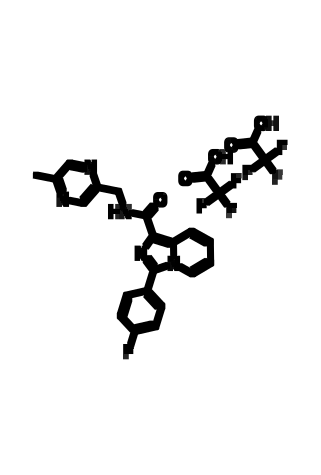 Cc1cnc(CNC(=O)c2nc(-c3ccc(F)cc3)n3ccccc23)cn1.O=C(O)C(F)(F)F.O=C(O)C(F)(F)F